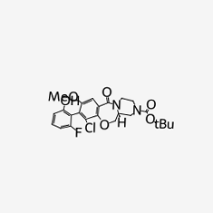 COc1cc2c(c(Cl)c1-c1c(O)cccc1F)OC[C@H]1CN(C(=O)OC(C)(C)C)CCN1C2=O